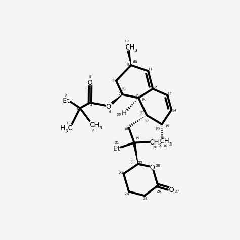 CCC(C)(C)C(=O)O[C@H]1C[C@@H](C)C=C2C=C[C@H](C)[C@H](CC(C)(CC)[C@@H]3CCCC(=O)O3)[C@H]21